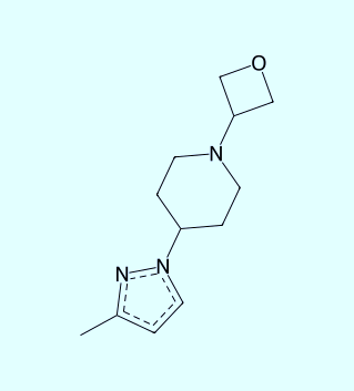 Cc1ccn(C2CCN(C3COC3)CC2)n1